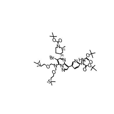 C[C@H]1C[C@H](c2nc3c(-c4ccc(N(NC(=O)OC(C)(C)C)C(=O)OC(C)(C)C)nc4)cnn3c(N(COCC[Si](C)(C)C)COCC[Si](C)(C)C)c2Br)CCN1C(=O)OC(C)(C)C